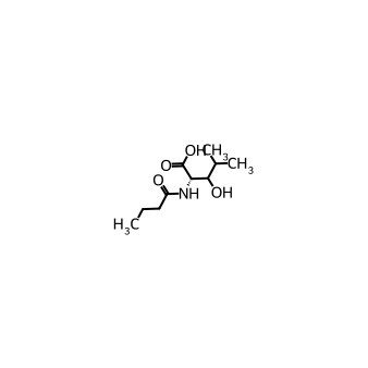 CCCC(=O)N[C@H](C(=O)O)C(O)C(C)C